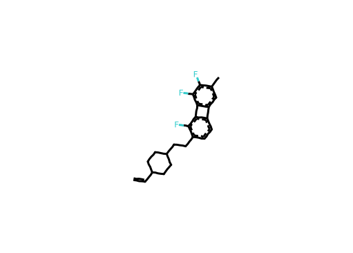 C=CC1CCC(CCc2ccc3c(c2F)-c2c-3cc(C)c(F)c2F)CC1